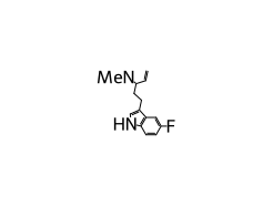 C=CC(CCc1c[nH]c2ccc(F)cc12)NC